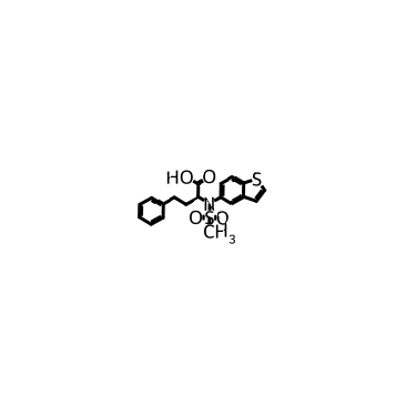 CS(=O)(=O)N(c1ccc2sccc2c1)C(CCc1ccccc1)C(=O)O